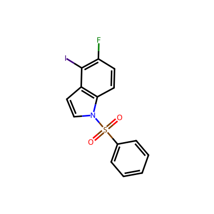 O=S(=O)(c1ccccc1)n1ccc2c(I)c(F)ccc21